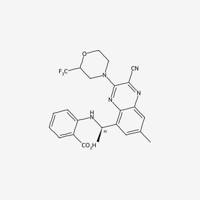 Cc1cc([C@@H](C)Nc2ccccc2C(=O)O)c2nc(N3CCOC(C(F)(F)F)C3)c(C#N)nc2c1